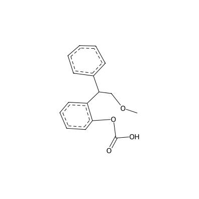 COCC(c1ccccc1)c1ccccc1OC(=O)O